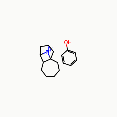 Oc1ccccc1.[N-]=[N+]1C2CCCC13CCCCCC23